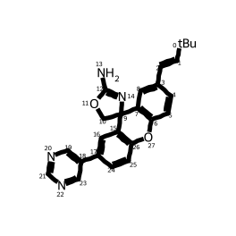 CC(C)(C)/C=C/c1ccc2c(c1)C1(COC(N)=N1)c1cc(-c3cncnc3)ccc1O2